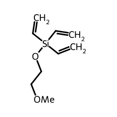 C=C[Si](C=C)(C=C)OCCOC